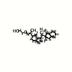 C/C(=N\OCCO)c1ccc2nnc(C(C)c3c(F)cc4ncccc4c3F)n2n1